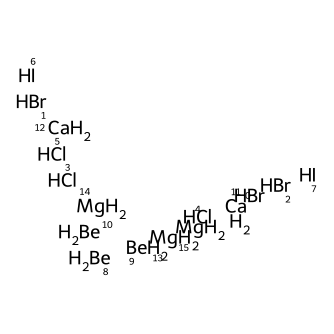 Br.Br.Br.Cl.Cl.Cl.I.I.[BeH2].[BeH2].[BeH2].[CaH2].[CaH2].[MgH2].[MgH2].[MgH2]